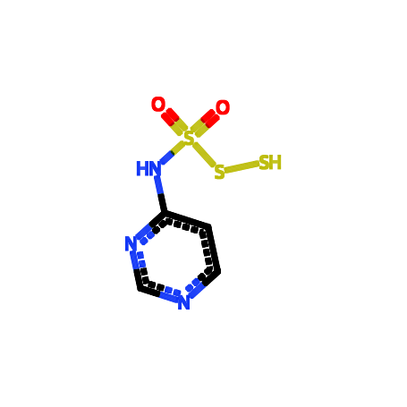 O=S(=O)(Nc1ccncn1)SS